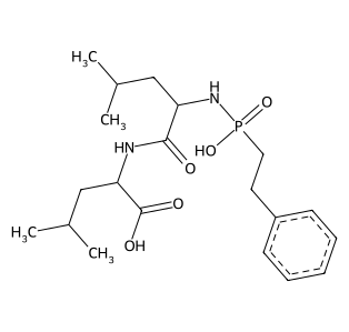 CC(C)CC(NC(=O)C(CC(C)C)NP(=O)(O)CCc1ccccc1)C(=O)O